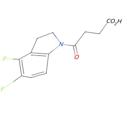 O=C(O)CCC(=O)N1CCc2c1ccc(F)c2F